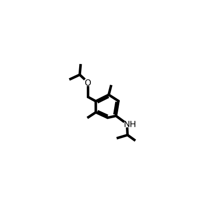 Cc1cc(NC(C)C)cc(C)c1COC(C)C